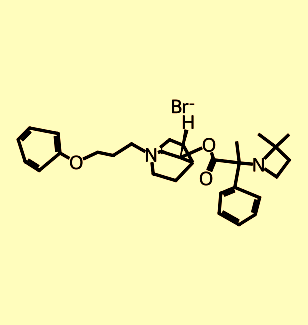 CC1(C)CCN1C(C)(C(=O)O[C@H]1C[N+]2(CCCOc3ccccc3)CCC1CC2)c1ccccc1.[Br-]